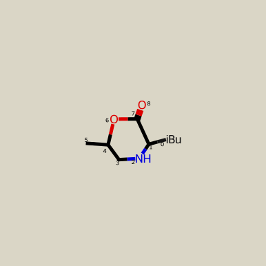 CCC(C)C1NCC(C)OC1=O